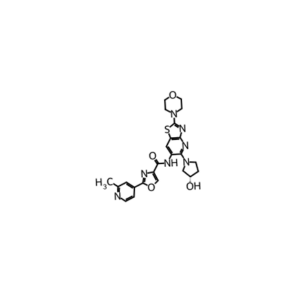 Cc1cc(-c2nc(C(=O)Nc3cc4sc(N5CCOCC5)nc4nc3N3CC[C@H](O)C3)co2)ccn1